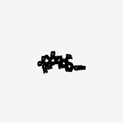 CCc1c2c(nc3ccc(OC)cc13)-c1cc3c(c(=O)n1C2)COC(=O)[C@@]3(O)CC